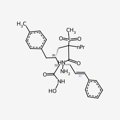 CCCC(C[C@@H](Cc1ccc(C)cc1)[C@H](C/C=C/c1ccccc1)C(=O)NO)(C(=O)NN)S(C)(=O)=O